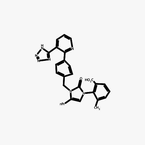 CCCc1cn(-c2c(C)cccc2C(=O)O)c(=O)n1Cc1ccc(-c2ncccc2-c2nnn[nH]2)cc1